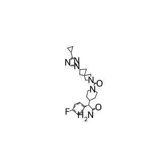 NC(=O)[C@@H](c1ccc(F)cc1)C1CCN(C(=O)N2CC3(CC(n4cnc(C5CC5)n4)C3)C2)CC1